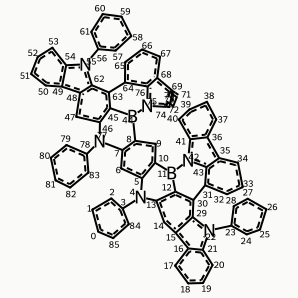 c1ccc(N2c3cc4c(cc3B3c5c2cc2c6ccccc6n(-c6ccccc6)c2c5-c2cccc5c6ccccc6n3c25)B2c3c(cc5c6ccccc6n(-c6ccccc6)c5c3-c3cccc5c6ccccc6n2c35)N4c2ccccc2)cc1